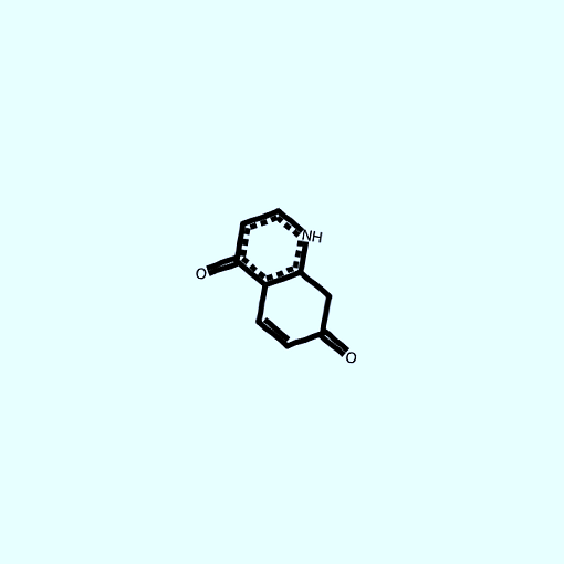 O=C1C=Cc2c([nH]ccc2=O)C1